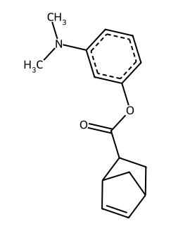 CN(C)c1cccc(OC(=O)C2CC3C=CC2C3)c1